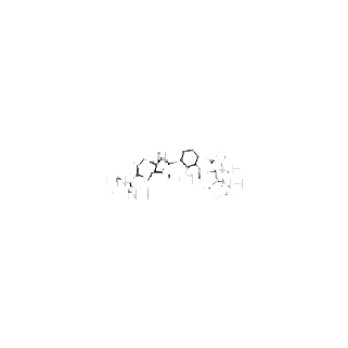 CC(=O)C(N)(Oc1cccc(-c2nc3ccc(C(=N)N)cc3[nH]2)c1O)C1CCCN1